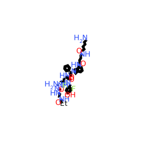 CCC(=O)NCCNC(=O)/N=C(/N)NCCC[C@@H](NC(=O)[C@H](c1ccccc1)N1Cc2cccc(NC(=O)CCCNC(=O)CCCCCN)c2C1)C(=O)NCc1c(F)cc(O)cc1F